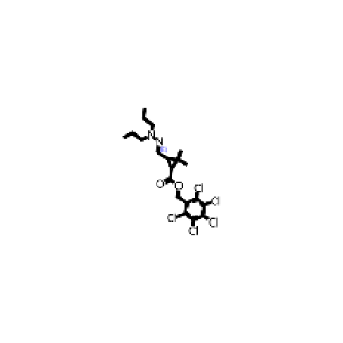 CCCN(CCC)/N=C/C1C(C(=O)OCc2c(Cl)c(Cl)c(Cl)c(Cl)c2Cl)C1(C)C